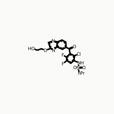 CCCS(=O)(=O)Nc1cc(F)c(F)c(C(=O)c2ccc3ncc(OCCO)nc3c2)c1Cl